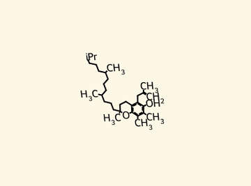 C=C(C)Cc1c(O)c(C)c(C)c2c1CC[C@@](C)(CCCC(C)CCCC(C)CCCC(C)C)O2